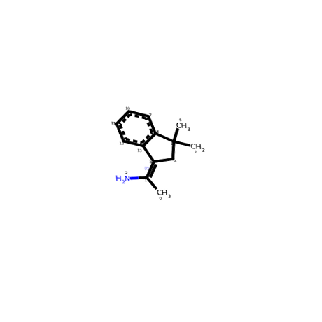 C/C(N)=C1\CC(C)(C)c2ccccc21